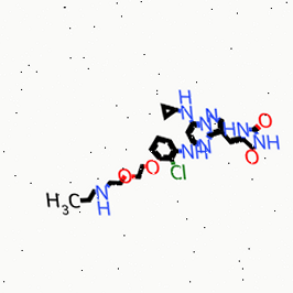 CCCNCCOCCOc1cccc(Nc2cc(NC3CC3)n3ncc(/C=C4\NC(=O)NC4=O)c3n2)c1Cl